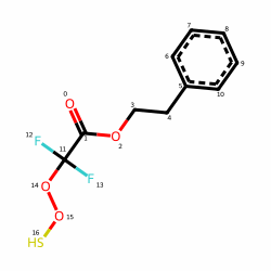 O=C(OCCc1ccccc1)C(F)(F)OOS